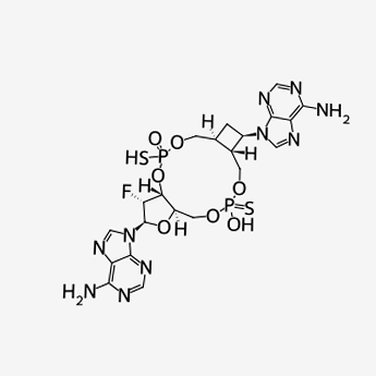 Nc1ncnc2c1ncn2[C@@H]1C[C@@H]2COP(=O)(S)O[C@H]3[C@@H](F)[C@H](n4cnc5c(N)ncnc54)O[C@@H]3COP(O)(=S)OC[C@H]21